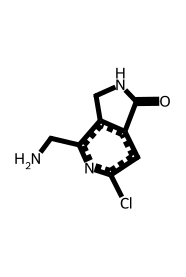 NCc1nc(Cl)cc2c1CNC2=O